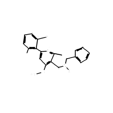 CCc1cccc(CC)c1-c1cc(OC(C)C)c(CN(CC)Cc2ccccc2)c(C)n1